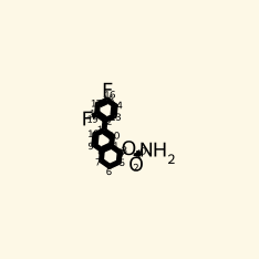 NC(=O)OC1CCCc2ccc(-c3ccc(F)cc3F)cc21